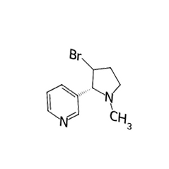 CN1CCC(Br)[C@H]1c1cccnc1